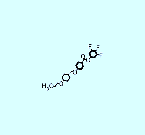 CCCO[C@H]1CC[C@H](COc2ccc(C(=O)Oc3cc(F)c(F)c(F)c3)cc2)CC1